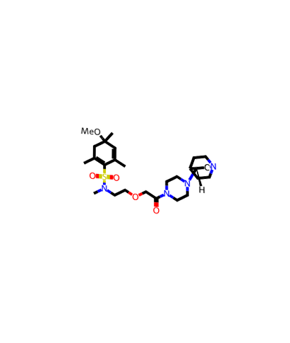 COC1(C)C=C(C)C(S(=O)(=O)N(C)CCOCC(=O)N2CCN([C@H]3CN4CCC3CC4)CC2)=C(C)C1